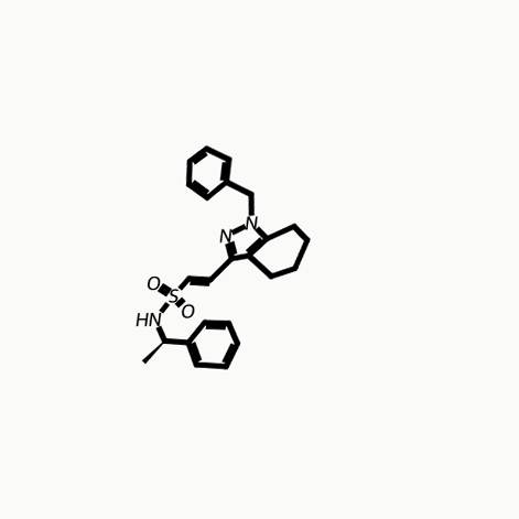 C[C@@H](NS(=O)(=O)/C=C/c1nn(Cc2ccccc2)c2c1CCCC2)c1ccccc1